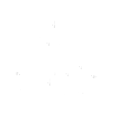 C=C(Nc1ccc(C)c(NC(=C)c2csc3c(NC4CC4)ncnc23)c1)c1cc(N2CCNCC2)cc(C(F)(F)F)c1